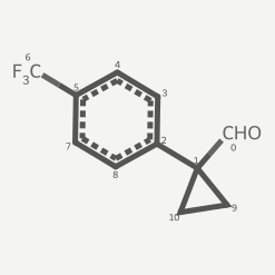 O=CC1(c2ccc(C(F)(F)F)cc2)CC1